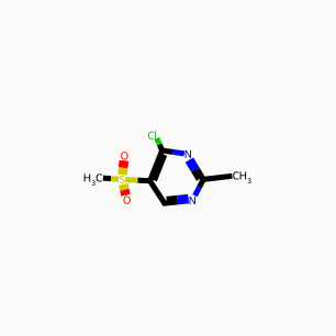 Cc1ncc(S(C)(=O)=O)c(Cl)n1